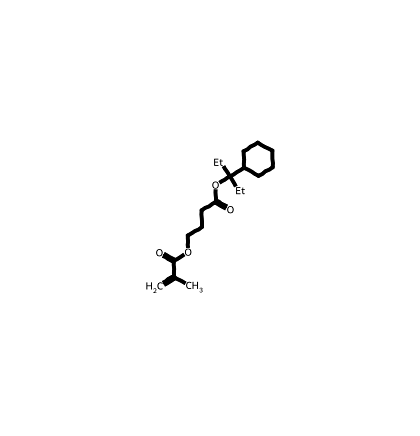 C=C(C)C(=O)OCCCC(=O)OC(CC)(CC)C1CCCCC1